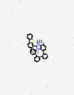 Cc1ccc2c(sc3ccccc32)c1-c1n2c3ccccc3c3ccccc3c3ccccc3c3cccc(c32)[n+]1C